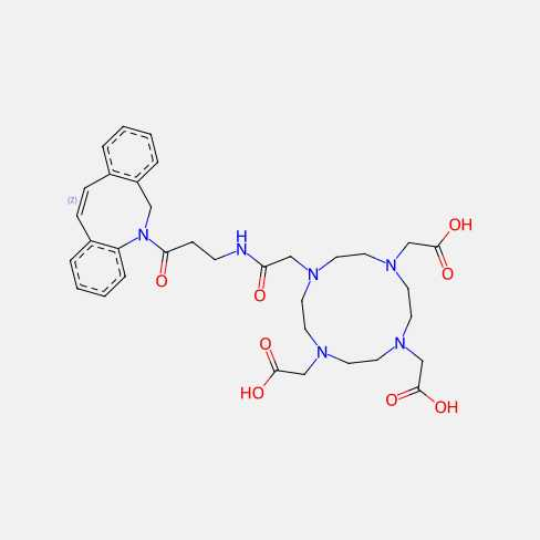 O=C(O)CN1CCN(CC(=O)O)CCN(CC(=O)NCCC(=O)N2Cc3ccccc3/C=C\c3ccccc32)CCN(CC(=O)O)CC1